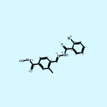 Cc1cc(C(=O)NO)ccc1C=NNC(=O)c1ccccc1Br